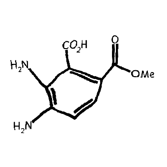 COC(=O)c1ccc(N)c(N)c1C(=O)O